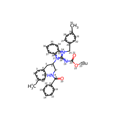 Cc1ccc(CC(CNC(=O)c2ccccc2)n2/c(=N/C(=O)OC(C)(C)C)n(Cc3ccc(C)cc3)c3ccccc32)cc1